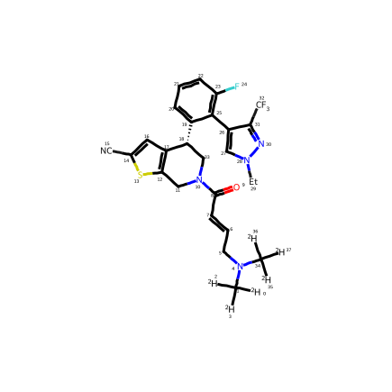 [2H]C([2H])([2H])N(C/C=C/C(=O)N1Cc2sc(C#N)cc2[C@H](c2cccc(F)c2-c2cn(CC)nc2C(F)(F)F)C1)C([2H])([2H])[2H]